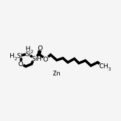 CCCCCCCCCCOC(=O)[SiH]1CCO[SiH2][SiH2]1.[Zn]